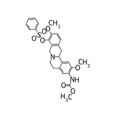 COC(=O)Nc1cc2c(cc1OC)C1Cc3ccc(OC)c(OS(=O)(=O)c4ccccc4)c3CN1CC2